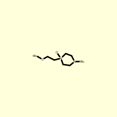 CC(C)(C)OCC[N+]1([O-])CCN(C(C)(C)C)CC1